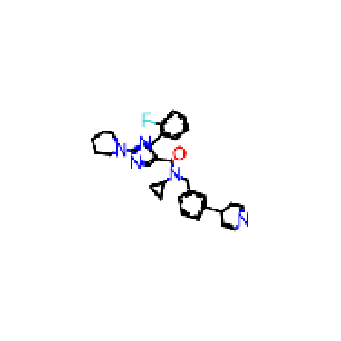 O=C(c1cnc(N2CCCCC2)nc1-c1ccccc1F)N(Cc1cccc(C2C=CN=CC2)c1)C1CC1